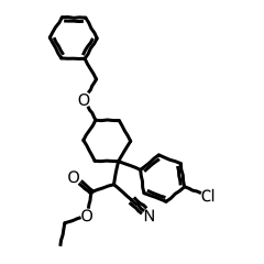 CCOC(=O)C(C#N)C1(c2ccc(Cl)cc2)CCC(OCc2ccccc2)CC1